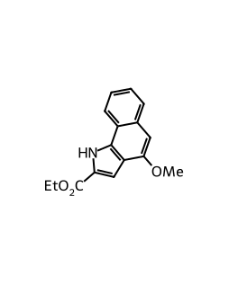 CCOC(=O)c1cc2c(OC)cc3ccccc3c2[nH]1